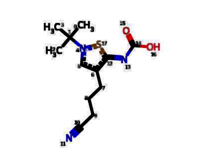 CC(C)(C)n1cc(CCCC#N)/c(=N/C(=O)O)s1